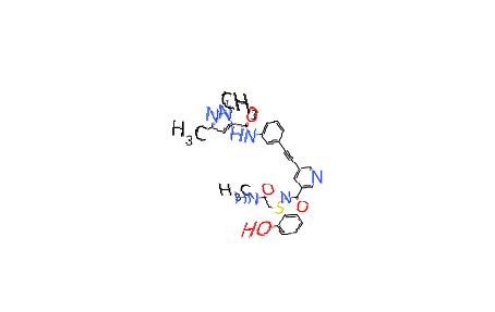 CNC(=O)CS(=NC(=O)c1cncc(C#Cc2cccc(NC(=O)c3cc(C)nn3C)c2)c1)c1ccccc1O